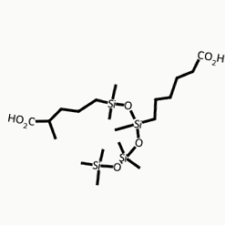 CC(CCC[Si](C)(C)O[Si](C)(CCCCCC(=O)O)O[Si](C)(C)O[Si](C)(C)C)C(=O)O